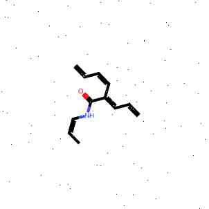 C=C/C=C\C(=C/C=C)C(=O)N/C=C\C